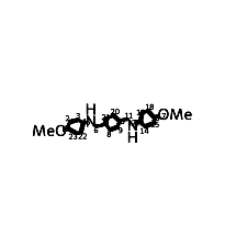 COc1ccc(NCc2ccc(CNc3ccc(OC)cc3)cc2)cc1